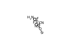 C[Si](C)(C)CCOCn1cc(C#N)c2c(Oc3c(F)cc(N)cc3F)ccnc21